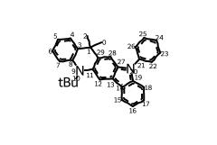 CC1(C)c2ccccc2N(C(C)(C)C)c2cc3c4ccccc4n(-c4ccccc4)c3cc21